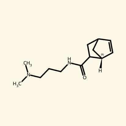 CN(C)CCCNC(=O)C1CC2C=C[C@H]1C2